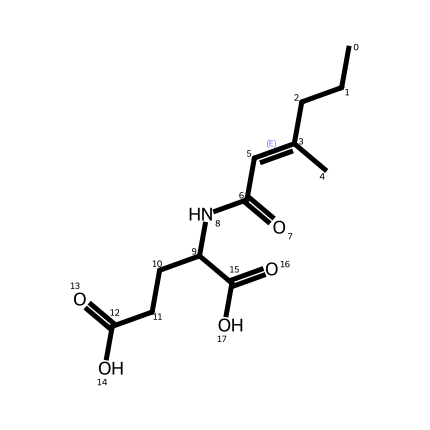 CCC/C(C)=C/C(=O)NC(CCC(=O)O)C(=O)O